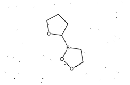 C1COC(B2CCOO2)C1